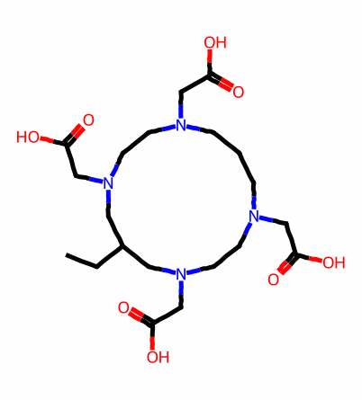 CCC1CN(CC(=O)O)CCN(CC(=O)O)CCCN(CC(=O)O)CCN(CC(=O)O)C1